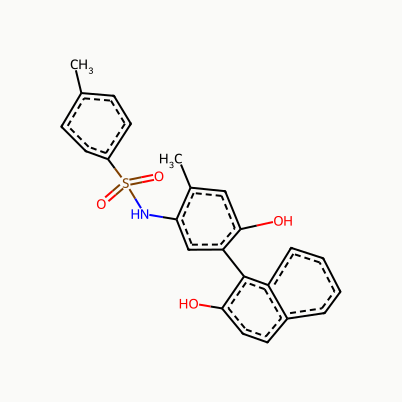 Cc1ccc(S(=O)(=O)Nc2cc(-c3c(O)ccc4ccccc34)c(O)cc2C)cc1